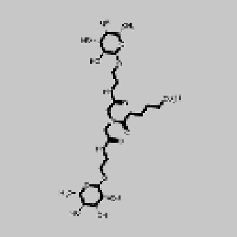 C[C@@H]1O[C@@H](OCCNC(=O)CN(CC(=O)NCCO[C@@H]2O[C@@H](C)[C@@H](O)[C@@H](O)[C@@H]2O)C(=O)CCCCC(=O)O)[C@@H](O)[C@H](O)[C@@H]1O